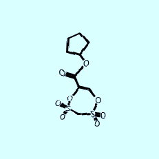 O=C(OC1CCCC1)C1COS(=O)(=O)CS(=O)(=O)O1